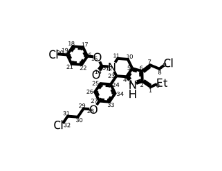 CC/C=c1/[nH]c2c(/c1=C/CCl)CCN(C(=O)Oc1ccc(Cl)cc1)C2c1ccc(OCCCCl)cc1